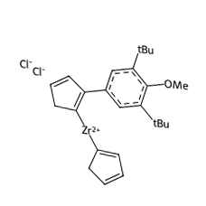 COc1c(C(C)(C)C)cc(C2=[C]([Zr+2][C]3=CC=CC3)CC=C2)cc1C(C)(C)C.[Cl-].[Cl-]